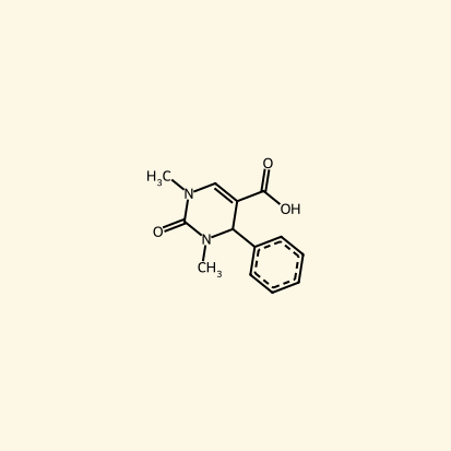 CN1C=C(C(=O)O)C(c2ccccc2)N(C)C1=O